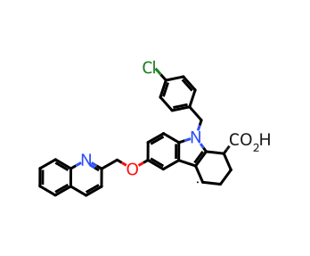 O=C(O)C1CC[CH]c2c1n(Cc1ccc(Cl)cc1)c1ccc(OCc3ccc4ccccc4n3)cc21